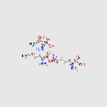 CSCC[C@H](N)C(=O)O.C[C@@H](O)[C@H](N)C(=O)O.NCCCC[C@H](N)C(=O)O